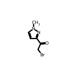 Cn1ccc(C(=O)CBr)n1